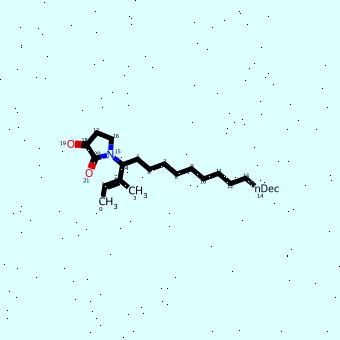 CC=C(C)C(CCCCCCCCCCCCCCCCCCC)N1CCC(=O)C1=O